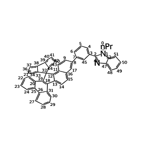 CCCn1c(-c2cccc(-c3ccc4c5c(ccc4c3)-c3c(c4ccccc4c4ccccc34)C53c4ccccc4-c4ccccc43)c2)nc2ccccc21